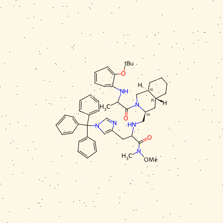 CON(C)C(=O)C(Cc1cn(C(c2ccccc2)(c2ccccc2)c2ccccc2)cn1)NC[C@@H]1C[C@H]2CCCC[C@@H]2CN1C(=O)C(C)Nc1ccccc1OC(C)(C)C